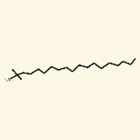 CCCCCCCCCCCCCCCCCC(C)(C)N